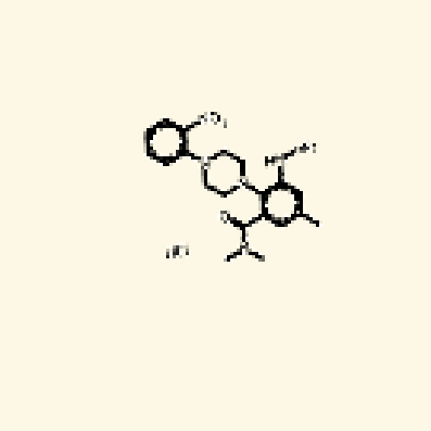 CCCNc1cc(C)cc(C(=O)N(C)C)c1N1CCN(c2ccccc2[N+](=O)[O-])CC1.Cl